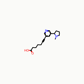 CN1CCCC1c1cncc(C#CCCCCC(=O)O)c1